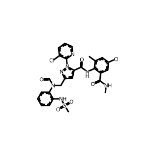 CNC(=O)c1cc(Cl)cc(C)c1NC(=O)c1cc(CN(C=O)c2ccccc2NS(C)(=O)=O)nn1-c1ncccc1Cl